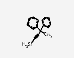 CC(C#C[SiH3])(c1ccccc1)c1ccccc1